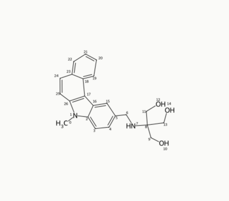 Cn1c2ccc(CNC(CO)(CO)CO)cc2c2c3ccccc3ccc21